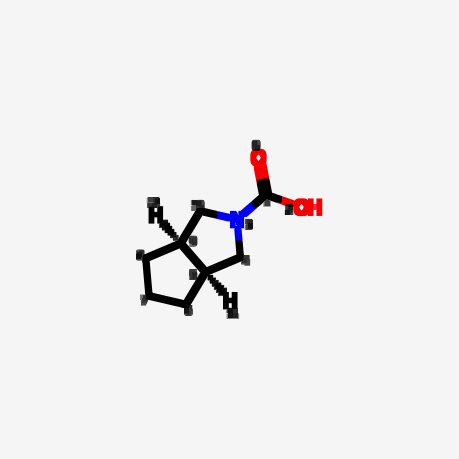 O=C(O)N1C[C@H]2CCC[C@H]2C1